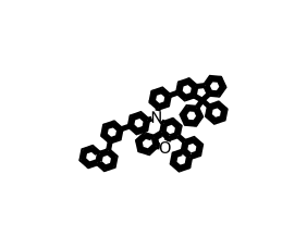 c1ccc(C2(c3ccccc3)c3ccccc3-c3ccc(-c4cccc(N(c5ccc(-c6cccc(-c7cccc8ccccc78)c6)cc5)c5ccc(-c6cccc7ccccc67)c6oc7ccccc7c56)c4)cc32)cc1